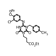 CCCOc1ccc(/N=c2\[nH]c(=O)n(CCCC(=O)OCC)c(=O)n2Cc2ccc(C)cc2)cc1Cl